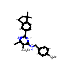 CCOC(=O)c1c(C)nc(-c2[c]cc3c([c]2)CCC3(C)C)nc1NCc1ccc(OC)cc1